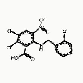 O=C(O)c1c(Cl)c(Cl)cc([N+](=O)[O-])c1NCc1ccccc1Cl